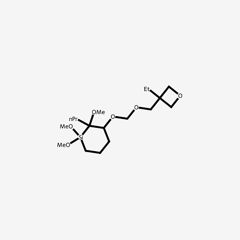 CCCC1(OC)C(OCOCC2(CC)COC2)CCC[Si]1(OC)OC